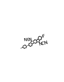 Cc1ccc(-c2ccc3c(c2)/c(=N\C#N)c2cc4c(cc23)/c(=N/C#N)c2cc(F)ccc24)cc1